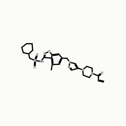 C=CC(=O)N1CCN(c2cnn(Cc3cc(C)c4c(NS(=O)(=O)CC5CCCCC5)noc4c3)c2)CC1